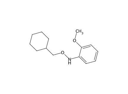 COc1ccccc1NOCC1CCCCC1